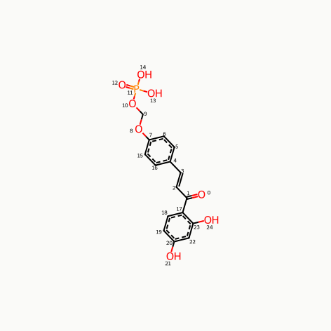 O=C(/C=C/c1ccc(OCOP(=O)(O)O)cc1)c1ccc(O)cc1O